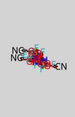 C[C@@H](S[C@H]1CO[C@H](/C=C/C=C/c2ccc(C#N)cc2F)OC1)[C@@](Cn1cncn1)(OC(=O)c1cc(F)ccc1COP(=O)(OCc1ccc(F)cc1C(=O)O[C@@](Cn1cncn1)(c1ccc(F)cc1F)[C@@H](C)S[C@H]1CO[C@H](/C=C/C=C/c2ccc(C#N)cc2F)OC1)OCc1ccc(F)cc1C(=O)O[C@@](Cn1cncn1)(c1ccc(F)cc1F)[C@@H](C)S[C@H]1CO[C@H](/C=C/C=C/c2ccc(C#N)cc2F)OC1)c1ccc(F)cc1F